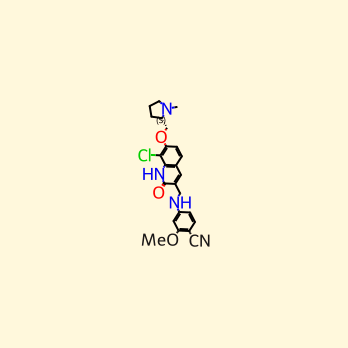 COc1cc(NCc2cc3ccc(OC[C@@H]4CCCN4C)c(Cl)c3[nH]c2=O)ccc1C#N